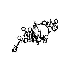 CCn1c(-c2cccnc2[C@H](C)OC)c2c3cc(ccc31)-c1nc(cs1)C[C@H](NC(=O)[C@H](C1CCCC1)N(C)C(=O)C1([SiH3])CCN(C(=O)C#CC(C)(C)N3CCC3)C1)C(=O)N1CCC[C@H](N1)C(=O)OCC(C)(C)C2